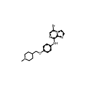 CN1CCC(COc2ccc(Nc3ncc(Br)n4ccnc34)cc2)CC1